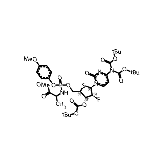 COC(=O)C(C)NP(=O)(OC[C@H]1S[C@@H](n2ccc(N(C(=O)OC(C)(C)C)C(=O)OC(C)(C)C)nc2=O)[C@@H](F)[C@@H]1OC(=O)OC(C)(C)C)Oc1ccc(OC)cc1